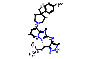 CSc1ccc(C2(CC#N)CCN(c3cccn4nc(Nc5c[nH]nc5CCN(C)C)nc34)CC2)cc1